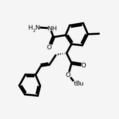 Cc1ccc(C(=O)NN)c([C@@H](C/C=C/c2ccccc2)C(=O)OC(C)(C)C)c1